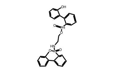 O=[PH](OCCNP1(=O)Oc2ccccc2-c2ccccc21)c1ccccc1-c1ccccc1O